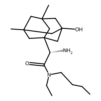 CCCCN(CC)C(=O)[C@@H](N)C12CC3(C)CC(C)(CC(O)(C3)C1)C2